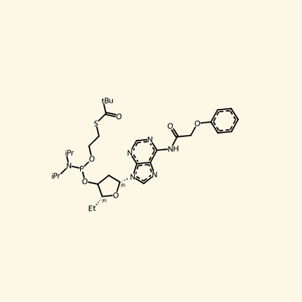 CC[C@H]1O[C@@H](n2cnc3c(NC(=O)COc4ccccc4)ncnc32)CC1OP(OCCSC(=O)C(C)(C)C)N(C(C)C)C(C)C